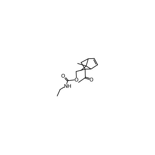 CCNC(=O)OCC1(C(C)=O)CC2C=CC1C2(C)C